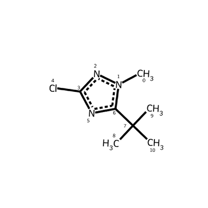 Cn1nc(Cl)nc1C(C)(C)C